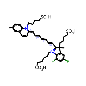 Cc1ccc2c(c1)C=C\C(=C/C=C/C=C/C=C/C1=[N+](CCCCCC(=O)O)c3c(F)cc(F)cc3C1(C)CCCCS(=O)(=O)O)N2CCCCS(=O)(=O)O